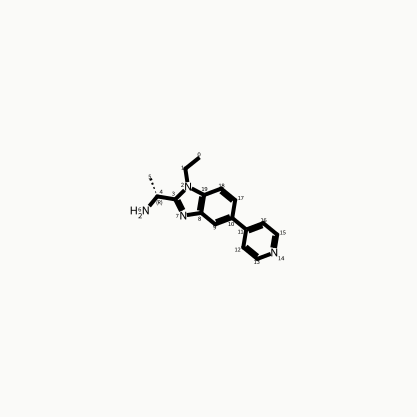 CCn1c([C@@H](C)N)nc2cc(-c3ccncc3)ccc21